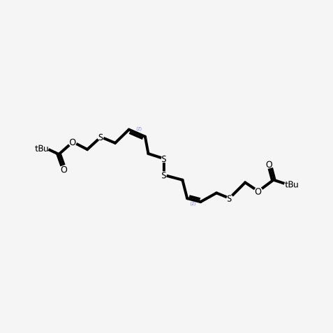 CC(C)(C)C(=O)OCSC/C=C\CSSC/C=C\CSCOC(=O)C(C)(C)C